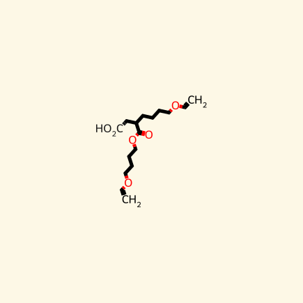 C=COCCCCOC(=O)C(CCCCOC=C)CC(=O)O